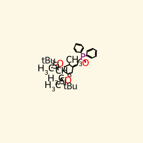 CC1/C(=C\CP(=O)(c2ccccc2)c2ccccc2)CC(O[Si](C)(C)C(C)(C)C)C[C@@H]1O[Si](C)(C)C(C)(C)C